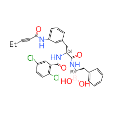 CCC#CC(=O)Nc1cccc(C[C@H](NC(=O)c2cc(Cl)ccc2Cl)C(=O)N[C@@H](Cc2ccccc2)B(O)O)c1